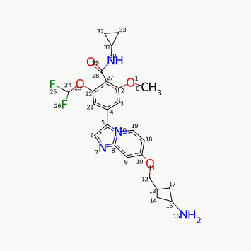 COc1cc(-c2cnc3cc(OCC4CC(N)C4)ccn23)cc(OC(F)F)c1C(=O)NC1CC1